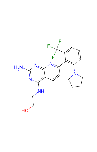 Nc1nc(NCCO)c2ccc(-c3c(N4CCCC4)cccc3C(F)(F)F)nc2n1